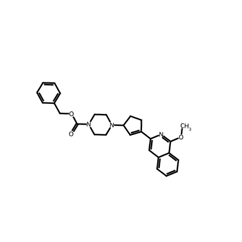 COc1nc(C2=CC(N3CCN(C(=O)OCc4ccccc4)CC3)CC2)cc2ccccc12